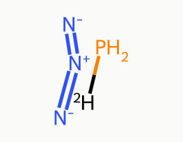 [2H]P.[N-]=[N+]=[N-]